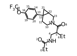 CCC(=O)NCC(CC)C(=O)N1CCC2(c3ccc(OC(F)(F)F)cc3)CC2C1